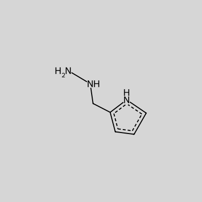 NNCc1ccc[nH]1